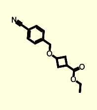 CCOC(=O)C1CC(OCc2ccc(C#N)cc2)C1